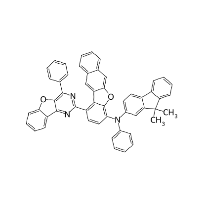 CC1(C)c2ccccc2-c2ccc(N(c3ccccc3)c3ccc(-c4nc(-c5ccccc5)c5oc6ccccc6c5n4)c4c3oc3cc5ccccc5cc34)cc21